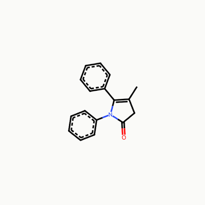 CC1=C(c2ccccc2)N(c2ccccc2)C(=O)C1